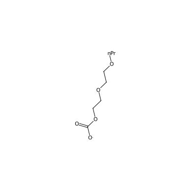 CCCOCCOCCOC([O])=O